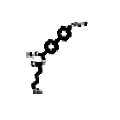 CCCCCc1ccc(-c2ccc(C(C)OC(=O)CCCCC(C)CC)cc2)cc1